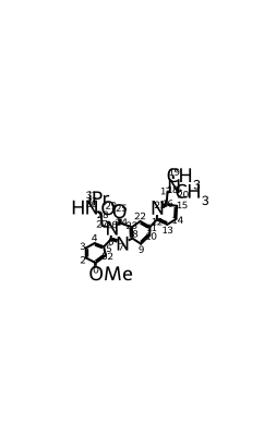 COc1cccc(-c2nc3ccc(-c4cccc(CN(C)C)n4)cc3c(=O)n2CC(=O)NC(C)C)c1